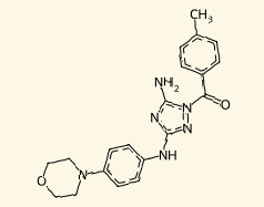 Cc1ccc(C(=O)n2nc(Nc3ccc(N4CCOCC4)cc3)nc2N)cc1